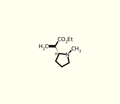 C=C(C(=O)OCC)[C@H]1CCCN1C